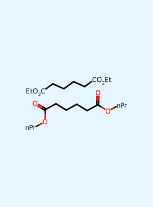 CCCOC(=O)CCCCC(=O)OCCC.CCOC(=O)CCCCC(=O)OCC